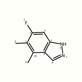 Cc1c(F)cc2[nH]ncc2c1C